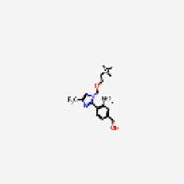 C[Si](C)(C)CCOCn1cc(C(F)(F)F)nc1-c1ccc(CO)cc1[N+](=O)[O-]